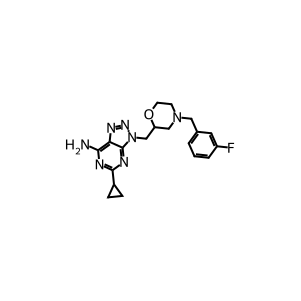 Nc1nc(C2CC2)nc2c1nnn2CC1CN(Cc2cccc(F)c2)CCO1